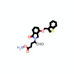 NOC(=O)CCC(C=O)N1Cc2c(OCc3csc4ccccc34)cccc2C1=O